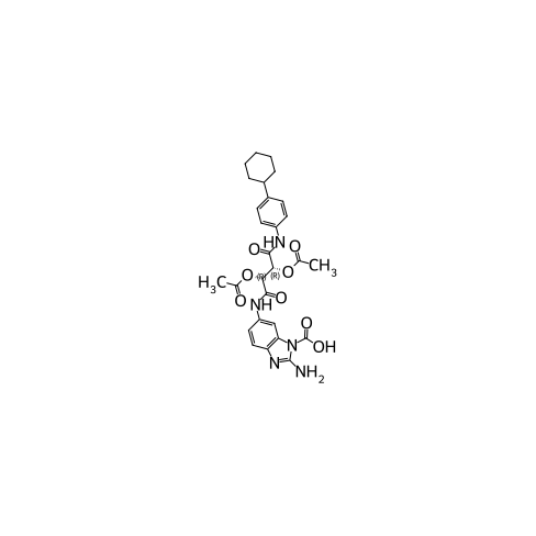 CC(=O)O[C@@H](C(=O)Nc1ccc(C2CCCCC2)cc1)[C@@H](OC(C)=O)C(=O)Nc1ccc2nc(N)n(C(=O)O)c2c1